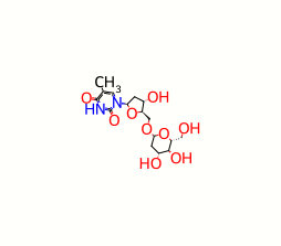 Cc1cn([C@H]2C[C@H](O)[C@@H](COC3C[C@@H](O)[C@H](O)[C@@H](CO)O3)O2)c(=O)[nH]c1=O